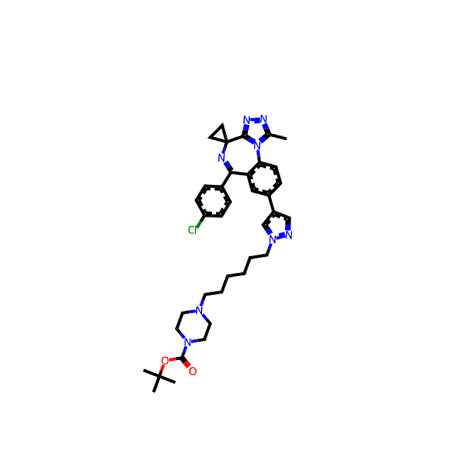 Cc1nnc2n1-c1ccc(-c3cnn(CCCCCCN4CCN(C(=O)OC(C)(C)C)CC4)c3)cc1C(c1ccc(Cl)cc1)=NC21CC1